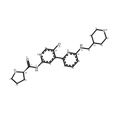 O=C(Nc1cc(-c2cccc(NCC3CCOCC3)n2)c(Cl)cn1)[C@H]1CCCO1